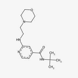 CC(C)(C)NC(=O)c1ccnc(NCCN2CCOCC2)c1